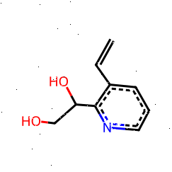 C=Cc1cccnc1C(O)CO